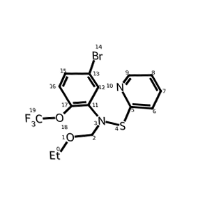 CCOCN(Sc1ccccn1)c1cc(Br)ccc1OC(F)(F)F